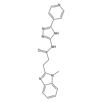 Cn1c(CCC(=O)Nc2nnc(-c3ccncc3)[nH]2)nc2ccccc21